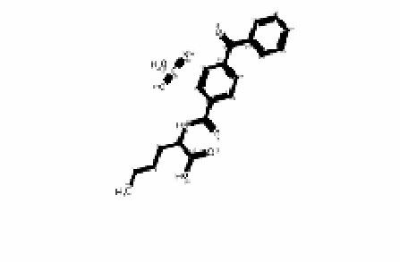 CCCCC(NC(=O)c1ccc(C(=O)c2ccccc2)cc1)C(=O)O.N=C=O.O